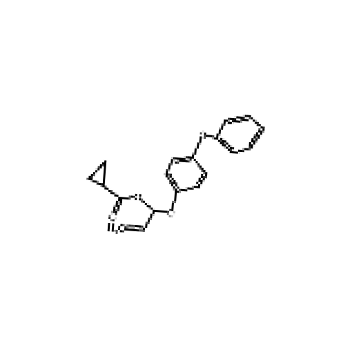 C=CC(OC(=O)C1CC1)Oc1ccc(Oc2ccccc2)cc1